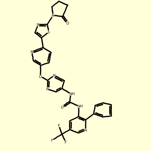 O=C(Nc1cnc(Oc2ccc(-c3cnc(N4CCCC4=O)s3)nc2)nc1)Nc1cc(C(F)(F)F)cnc1-c1ccccc1